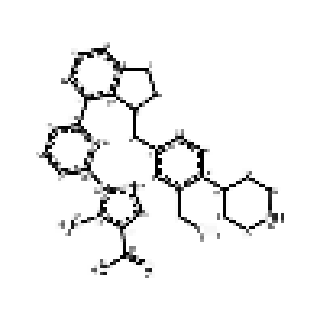 CCc1cc(CC2CCc3cccc(-c4cccc(-n5ncc(C(=O)O)c5N)n4)c32)ccc1C1CCNCC1